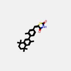 Cc1cc(C=C2SC(=O)NC2=O)ccc1-c1cc2c(cc1C)C(C)(C)CCC2(C)C